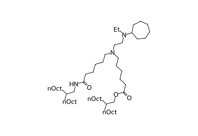 CCCCCCCCC(CCCCCCCC)CNC(=O)CCCCCN(CCCCCC(=O)OCC(CCCCCCCC)CCCCCCCC)CCN(CC)C1CCCCCC1